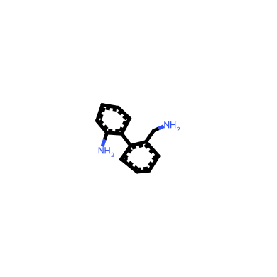 NCc1ccccc1-c1ccccc1N